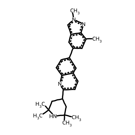 Cc1cc(-c2ccc3nc(C4CC(C)(C)NC(C)(C)C4)ccc3c2)cc2cn(C)nc12